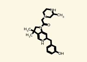 CC1CN(CC(=O)N2CC(C)(C)C3=CNC(Cc4cccc(O)c4)C=C32)CCN1